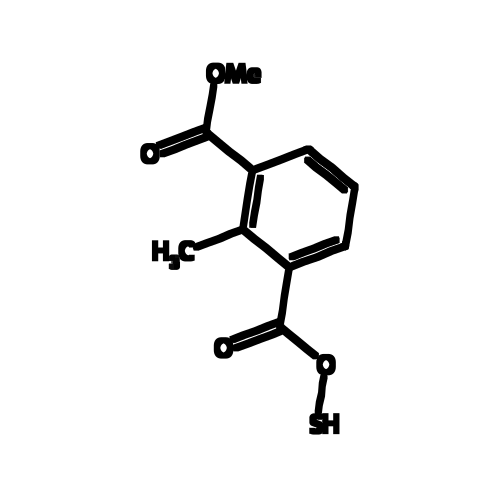 COC(=O)c1cccc(C(=O)OS)c1C